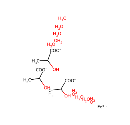 CC(O)C(=O)[O-].CC(O)C(=O)[O-].CC(O)C(=O)[O-].O.O.O.O.O.O.O.O.O.[Fe+3]